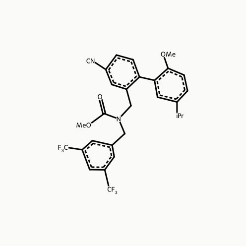 [C-]#[N+]c1ccc(-c2cc(C(C)C)ccc2OC)c(CN(Cc2cc(C(F)(F)F)cc(C(F)(F)F)c2)C(=O)OC)c1